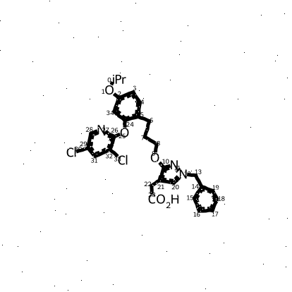 CC(C)Oc1ccc(CCCOc2nn(Cc3ccccc3)cc2CC(=O)O)c(Oc2ncc(Cl)cc2Cl)c1